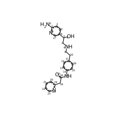 Nc1ccc(C(O)CNCCc2ccc(NC(=O)Cc3ccccn3)cc2)cn1